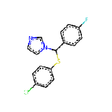 Fc1ccc(C(Sc2ccc(Cl)cc2)n2ccnc2)cc1